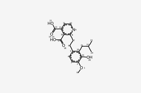 COc1ccc(CCc2nccc(C(=O)O)c2C(=O)O)c(CC(C)C)c1O